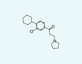 O=C(CCN1CCCC1)c1ccc(C2CCCCC2)c(Cl)c1